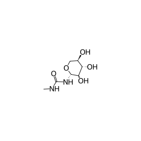 CNC(=O)N[C@@H]1OC[C@@H](O)[C@H](O)[C@H]1O